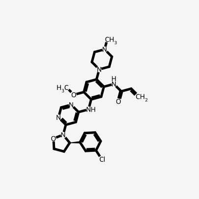 C=CC(=O)Nc1cc(Nc2cc(N3OCC[C@@H]3c3cccc(Cl)c3)ncn2)c(OC)cc1N1CCN(C)CC1